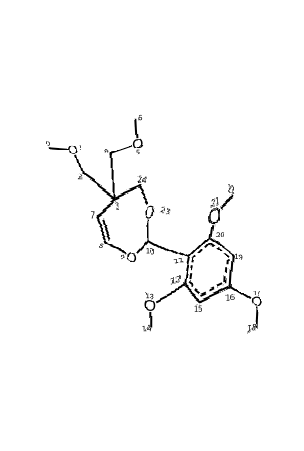 COCC1(COC)C=COC(c2c(OC)cc(OC)cc2OC)OC1